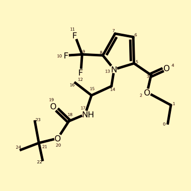 CCOC(=O)c1ccc(C(F)(F)F)n1CC(C)NC(=O)OC(C)(C)C